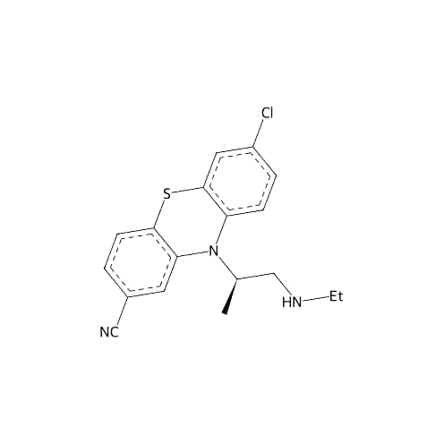 CCNC[C@@H](C)N1c2ccc(Cl)cc2Sc2ccc(C#N)cc21